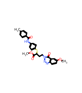 COC(=O)C(CCn1nnc2ccc(OC)cc2c1=O)Sc1ccc(NC(=O)c2ccc(C)cc2)cc1